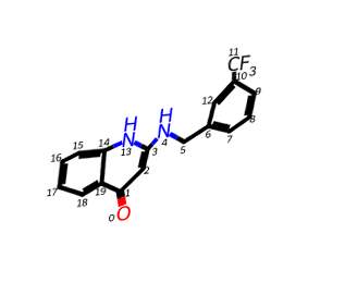 O=c1cc(NCc2cccc(C(F)(F)F)c2)[nH]c2ccccc12